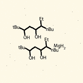 CCCCC(CC)C(O)CC(O)C(C)(C)C.CCCCC(CC)C(O)CC(O)C(C)(C)C.[MgH2]